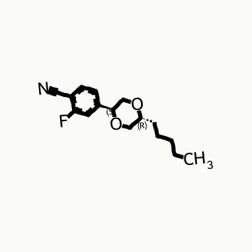 CCCCC[C@@H]1CO[C@@H](c2ccc(C#N)c(F)c2)CO1